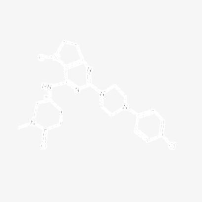 CN1C[C@H](Nc2nc(N3CCN(c4ccc(Cl)cc4)CC3)nc3c2[S+]([O-])CC3)CCC1=O